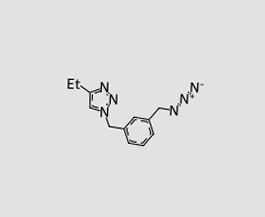 CCc1cn(Cc2cccc(CN=[N+]=[N-])c2)nn1